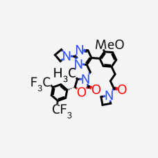 COc1ccc(CCC(=O)N2CCC2)cc1-c1cnc(N2CCC2)nc1CN1C(=O)O[C@H](c2cc(C(F)(F)F)cc(C(F)(F)F)c2)C1C